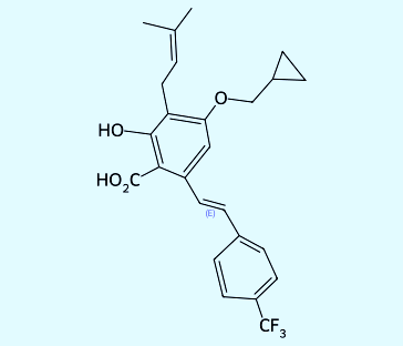 CC(C)=CCc1c(OCC2CC2)cc(/C=C/c2ccc(C(F)(F)F)cc2)c(C(=O)O)c1O